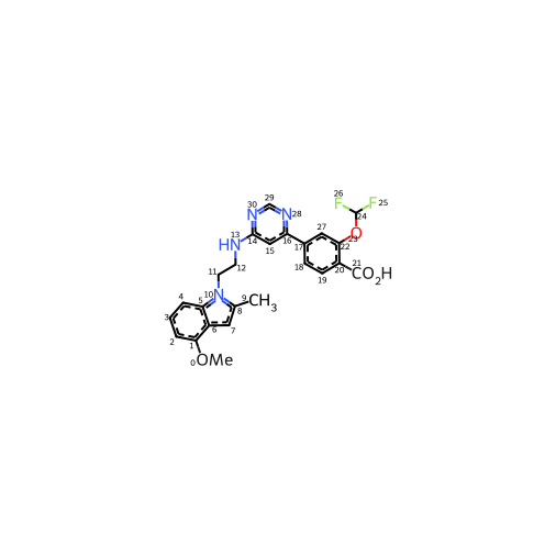 COc1cccc2c1cc(C)n2CCNc1cc(-c2ccc(C(=O)O)c(OC(F)F)c2)ncn1